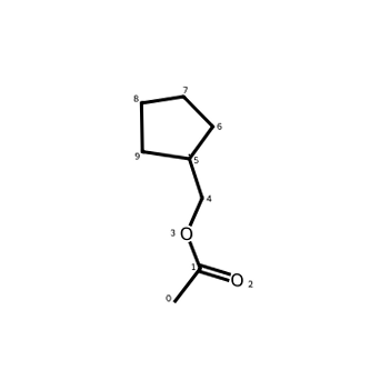 CC(=O)OC[C]1CCCC1